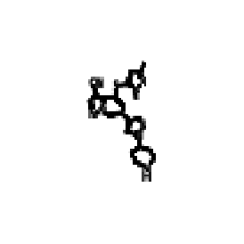 Cc1cc(Sc2cc(-c3cnn(C4CCNCC4)c3)cn3ncc(C#N)c23)n(C)n1